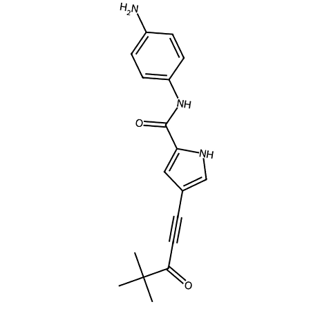 CC(C)(C)C(=O)C#Cc1c[nH]c(C(=O)Nc2ccc(N)cc2)c1